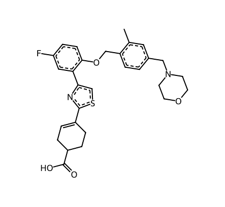 Cc1cc(CN2CCOCC2)ccc1COc1ccc(F)cc1-c1csc(C2=CCC(C(=O)O)CC2)n1